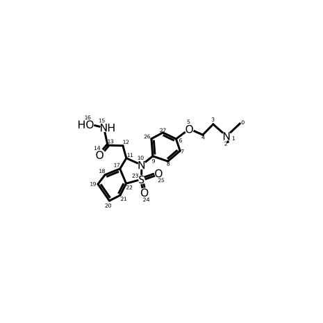 CN(C)CCOc1ccc(N2C(CC(=O)NO)c3ccccc3S2(=O)=O)cc1